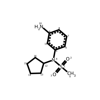 CS(=O)(=O)N(c1cccc(N)c1)C1CCCC1